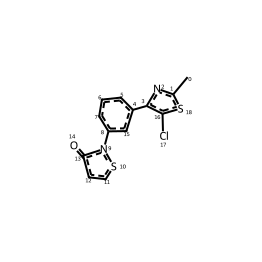 Cc1nc(-c2cccc(-n3sccc3=O)c2)c(Cl)s1